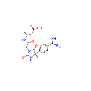 C[C@@H](CC(=O)O)NC(=O)CN1C(=O)N[C@@](C)(c2ccc(C(=N)N)cc2)C1=O